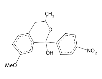 COc1ccc2c(c1)C(O)(c1ccc([N+](=O)[O-])cc1)OC(C)C2